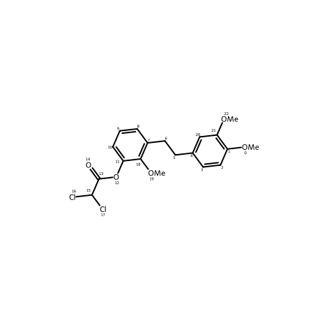 COc1ccc(CCc2cccc(OC(=O)C(Cl)Cl)c2OC)cc1OC